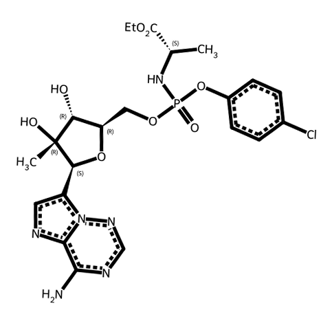 CCOC(=O)[C@H](C)NP(=O)(OC[C@H]1O[C@@H](c2cnc3c(N)ncnn23)[C@](C)(O)[C@@H]1O)Oc1ccc(Cl)cc1